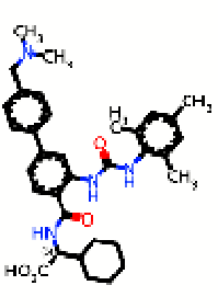 Cc1cc(C)c(NC(=O)Nc2cc(-c3ccc(CN(C)C)cc3)ccc2C(=O)N[C@H](C(=O)O)C2CCCCC2)c(C)c1